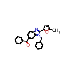 Cc1ccc(-c2nc3ccc(C(=O)c4ccccc4)cc3n2Cc2ccccc2)o1